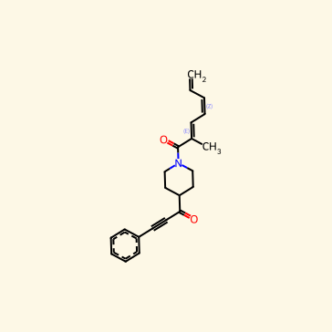 C=C/C=C\C=C(/C)C(=O)N1CCC(C(=O)C#Cc2ccccc2)CC1